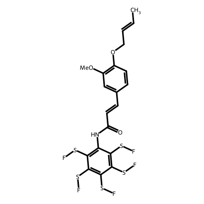 CC=CCOc1ccc(C=CC(=O)Nc2c(SF)c(SF)c(SF)c(SF)c2SF)cc1OC